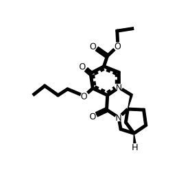 CCCCOc1c2n(cc(C(=O)OCC)c1=O)C[C@]13CC[C@H](CN1C2=O)C3